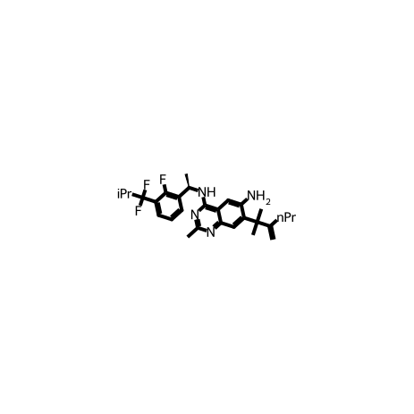 C=C(CCC)C(C)(C)c1cc2nc(C)nc(N[C@H](C)c3cccc(C(F)(F)C(C)C)c3F)c2cc1N